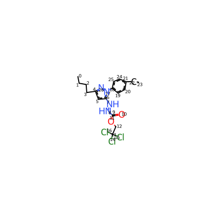 CCCCc1cc(NNC(=O)OCC(Cl)(Cl)Cl)n(-c2ccc(CC)cc2)n1